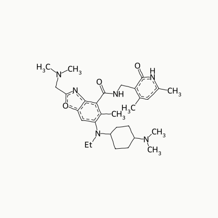 CCN(c1cc2oc(CN(C)C)nc2c(C(=O)NCc2c(C)cc(C)[nH]c2=O)c1C)C1CCC(N(C)C)CC1